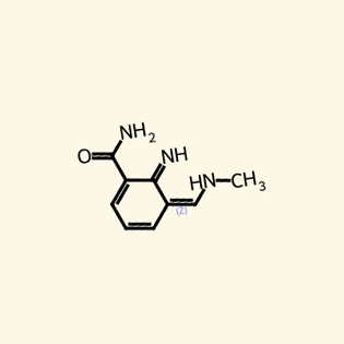 CN/C=C1/C=CC=C(C(N)=O)C1=N